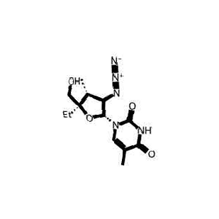 CC[C@@]1(CO)O[C@@H](n2cc(C)c(=O)[nH]c2=O)C(N=[N+]=[N-])[C@H]1C